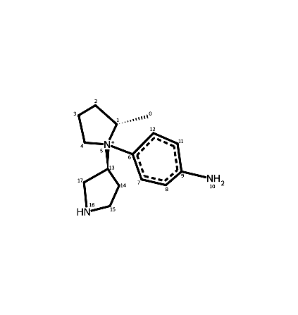 C[C@H]1CCC[N+]1(c1ccc(N)cc1)[C@H]1CCNC1